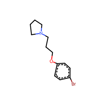 Brc1ccc(OCCCN2CCCC2)cc1